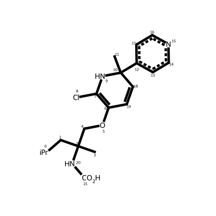 CC(C)CC(C)(COC1=C(Cl)NC(C)(c2ccncc2)C=C1)NC(=O)O